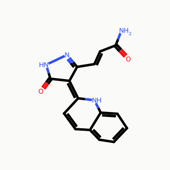 NC(=O)C=CC1=NNC(=O)C1=C1C=Cc2ccccc2N1